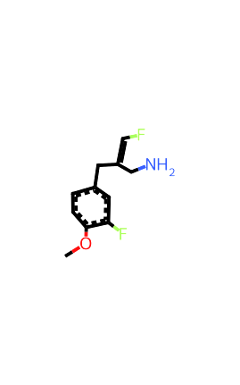 COc1ccc(C/C(=C/F)CN)cc1F